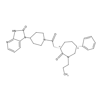 CCCN1C[C@@H](c2ccccc2)CC[C@@H](CC(=O)N2CCC(n3c(=O)[nH]c4ncccc43)CC2)C1=O